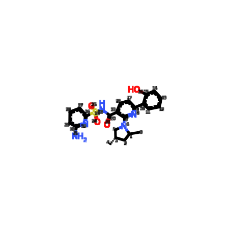 CC1C[C@H](C)CN1c1nc(-c2ccccc2O)ccc1C(=O)NS(=O)(=O)c1cccc(N)n1